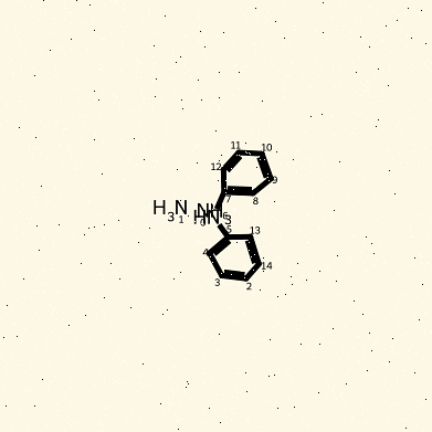 N.N.c1ccc(Nc2ccccc2)cc1